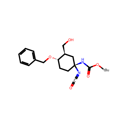 CC(C)(C)OC(=O)N[C@@]1(N=C=O)CC[C@H](OCc2ccccc2)[C@@H](CO)C1